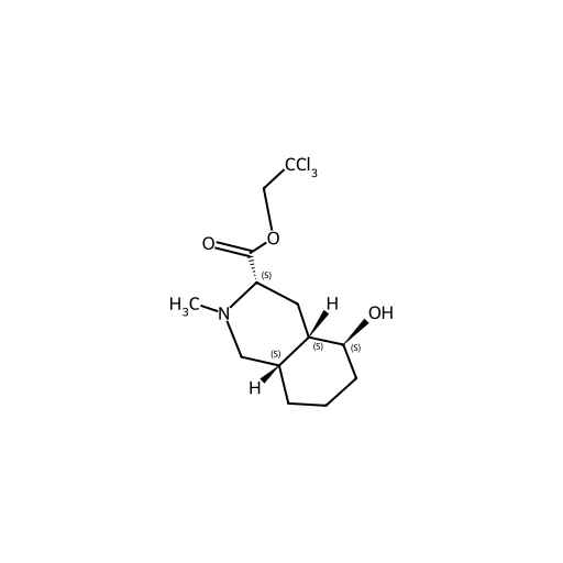 CN1C[C@H]2CCC[C@H](O)[C@H]2C[C@H]1C(=O)OCC(Cl)(Cl)Cl